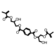 C=C(C)C(=O)OCC(O)COC(=O)c1ccc(C(=O)OC(CO)COC(=O)C(=C)C)cc1